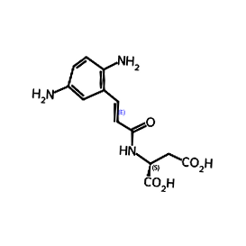 Nc1ccc(N)c(/C=C/C(=O)N[C@@H](CC(=O)O)C(=O)O)c1